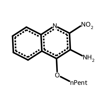 CCCCCOc1c(N)c([N+](=O)[O-])nc2ccccc12